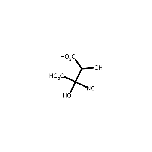 [C-]#[N+]C(O)(C(=O)O)C(O)C(=O)O